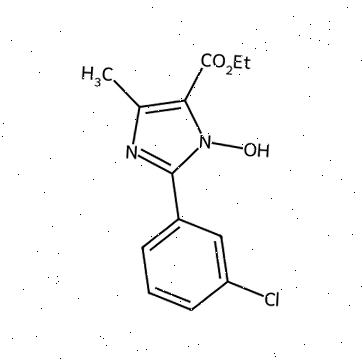 CCOC(=O)c1c(C)nc(-c2cccc(Cl)c2)n1O